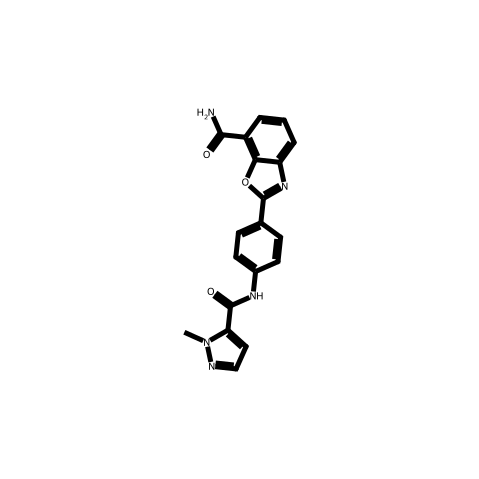 Cn1nccc1C(=O)Nc1ccc(-c2nc3cccc(C(N)=O)c3o2)cc1